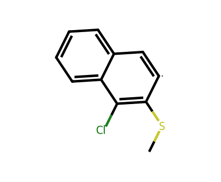 CSc1[c]cc2ccccc2c1Cl